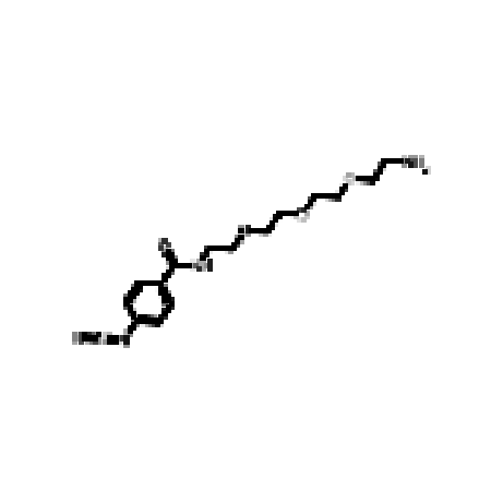 [N-]=[N+]=Nc1ccc(C(=O)NCCOCCOCCOCCN)cc1